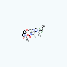 C#C/C=C(Cl)\C(Cl)=C(/C)N1CCN(CCCCOc2ccc3ccc(=O)n(C(C)OC(=O)N(CC)CC)c3c2)CC1